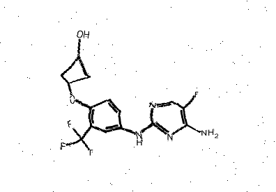 Nc1nc(Nc2ccc(OC3CC(O)C3)c(C(F)(F)F)c2)ncc1F